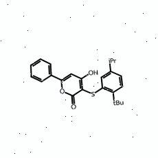 CC(C)c1ccc(C(C)(C)C)c(Sc2c(O)cc(-c3ccccc3)oc2=O)c1